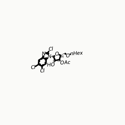 CCCCCCOC[C@H]1O[C@@H](n2c(Cl)nc3cc(Cl)c(Cl)cc32)[C@H](O)[C@@H]1OC(C)=O